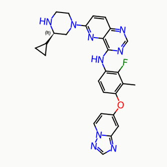 Cc1c(Oc2ccn3ncnc3c2)ccc(Nc2ncnc3ccc(N4CCN[C@H](C5CC5)C4)nc23)c1F